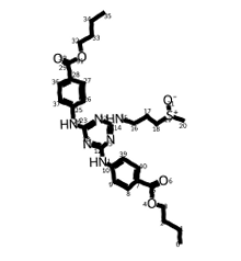 CCCCOC(=O)c1ccc(Nc2nc(NCCC[S+](C)[O-])nc(Nc3ccc(C(=O)OCCCC)cc3)n2)cc1